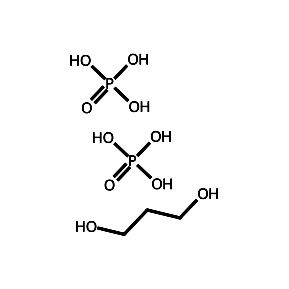 O=P(O)(O)O.O=P(O)(O)O.OCCCO